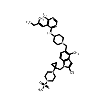 C/C(=C\c1c(C)ncnc1NC1CCN(Cc2ccc3c(cc(C#N)n3CC3(N4CCN(S(C)(=O)=O)CC4)CC3)c2C)CC1)CC(F)(F)F